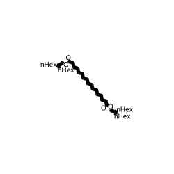 CCCCCCC(CCCCCC)COC(=O)CCCCCCCCCCCCCCCC(=O)OCC(CCCCCC)CCCCCC